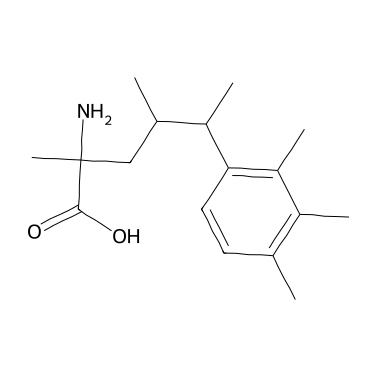 Cc1ccc(C(C)C(C)CC(C)(N)C(=O)O)c(C)c1C